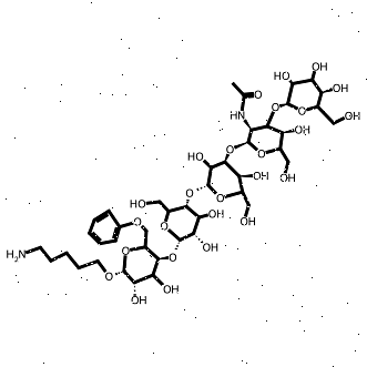 CC(=O)N[C@H]1C(O[C@@H]2OC(CO)[C@H](O)C(O)[C@@H]2O)[C@@H](O)C(CO)O[C@H]1O[C@@H]1C(O)[C@@H](O[C@H]2C(CO)O[C@@H](O[C@@H]3C(COc4ccccc4)O[C@@H](OCCCCCN)[C@@H](O)C3O)[C@@H](O)C2O)OC(CO)[C@@H]1O